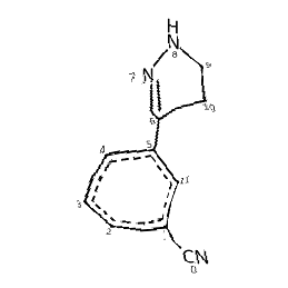 N#Cc1cccc(C2=NNCC2)c1